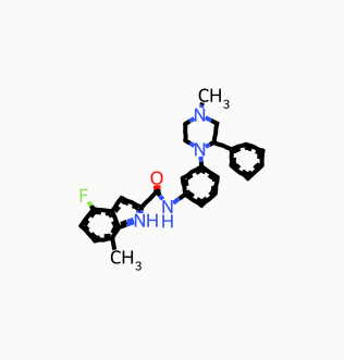 Cc1ccc(F)c2cc(C(=O)Nc3cccc(N4CCN(C)CC4c4ccccc4)c3)[nH]c12